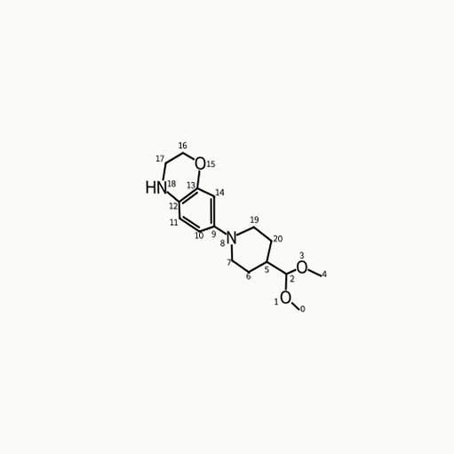 COC(OC)C1CCN(c2ccc3c(c2)OCCN3)CC1